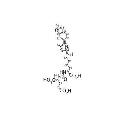 O=C(O)CCC(NC(=O)NC(CCCCNc1nc(-c2ccc3c(c2)OCO3)cs1)C(=O)O)C(=O)O